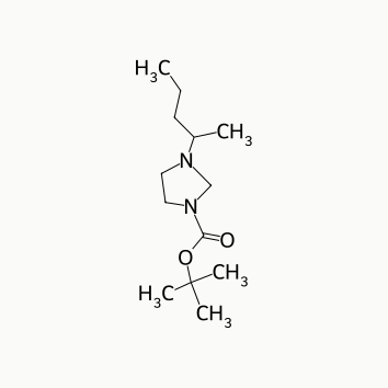 CCCC(C)N1CCN(C(=O)OC(C)(C)C)C1